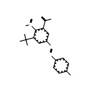 Nc1ccc(/N=N/c2cc(C(=O)O)c([N+](=O)[O-])c(C(F)(F)F)c2)cc1